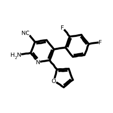 N#Cc1cc(-c2ccc(F)cc2F)c(-c2ccco2)nc1N